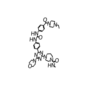 CCN1CCN(C(=O)c2ccc(NC(=O)Nc3ccc(-c4nc(N5CCOCC5)nc(N5CCCN(C(=O)NC)CC5)n4)cc3)cc2)CC1